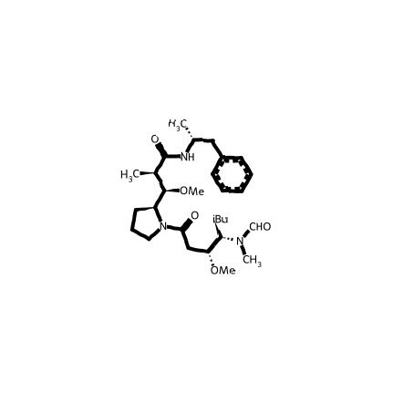 CC[C@H](C)[C@@H]([C@@H](CC(=O)N1CCC[C@H]1[C@H](OC)[C@@H](C)C(=O)N[C@H](C)Cc1ccccc1)OC)N(C)C=O